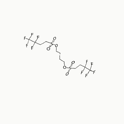 O=S(=O)(CCC(F)(F)C(F)(F)F)OCCCCOS(=O)(=O)CCC(F)(F)C(F)(F)F